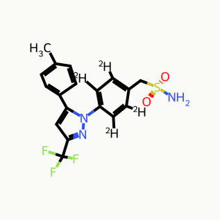 [2H]c1c([2H])c(-n2nc(C(F)(F)F)cc2-c2ccc(C)cc2)c([2H])c([2H])c1CS(N)(=O)=O